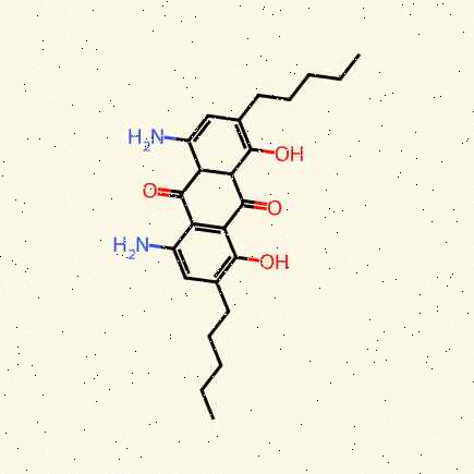 CCCCCC1=C(O)C2C(=O)c3c(O)c(CCCCC)cc(N)c3C(=O)C2C(N)=C1